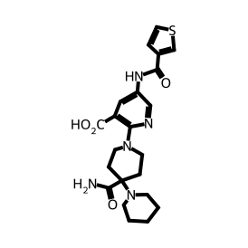 NC(=O)C1(N2CCCCC2)CCN(c2ncc(NC(=O)c3ccsc3)cc2C(=O)O)CC1